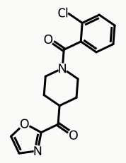 O=C(c1ncco1)C1CCN(C(=O)c2ccccc2Cl)CC1